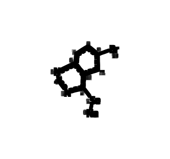 [Na][Se]c1ncnc2ccc(Br)cc12